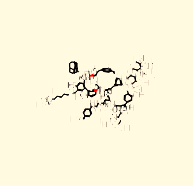 CN[C@H](CC(C)C)C(=O)N[C@H]1C(=O)N[C@@H](CC(=O)NC(=O)Nc2ccc(OC)cc2)C(=O)N[C@H]2C(=O)N[C@H]3C(=O)N[C@H](C(=O)N[C@H](C(=O)NC4C5CC6CC(C5)CC4C6)c4cc(O)c(CNCCCCCNS(C)(=O)=O)c(O)c4-c4cc3ccc4O)[C@H](O)c3ccc(c(Cl)c3)Oc3cc2cc(c3O[C@@H]2O[C@H](CO)[C@@H](O)[C@H](O)[C@H]2O[C@H]2C[C@](C)(N)[C@H](O)[C@H](C)O2)Oc2ccc(cc2C)[C@H]1O